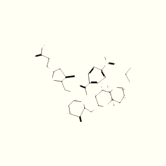 C=C1C[C@H](CCC(=O)O)OC1CC[C@H]1C[C@@H](C)C(=C)C(C[C@@H]2O[C@H]3C[C@@H](C)[C@@H](CCC)O[C@H]3[C@H](C)[C@H]2OC(=O)c2ccc([N+](=O)[O-])cc2)O1